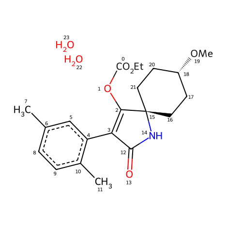 CCOC(=O)OC1=C(c2cc(C)ccc2C)C(=O)N[C@]12CC[C@@H](OC)CC2.O.O